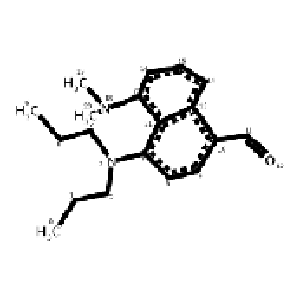 CCCN(CCC)c1ccc(C=O)c2cccc(N(C)C)c12